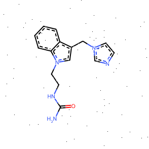 NC(=O)NCCn1cc(Cn2ccnc2)c2ccccc21